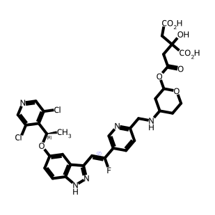 C[C@@H](Oc1ccc2[nH]nc(/C=C(\F)c3ccc(CNC4CCOC(OC(=O)CC(O)(CC(=O)O)C(=O)O)C4)nc3)c2c1)c1c(Cl)cncc1Cl